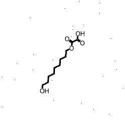 O=C(O)C(=O)OCCCCCCCCCO